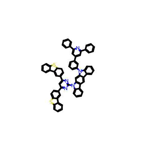 C1=C(c2cc(-c3ccc4sc5ccccc5c4c3)nc(-n3c4ccccc4c4cc5c6ccccc6n(-c6cccc(-c7cc(-c8ccccc8)nc(-c8ccccc8)c7)c6)c5cc43)n2)C=C2c3ccccc3SC2C1